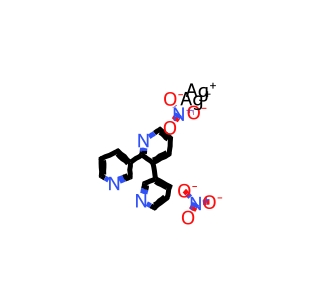 O=[N+]([O-])[O-].O=[N+]([O-])[O-].[Ag+].[Ag+].c1cncc(-c2cccnc2-c2cccnc2)c1